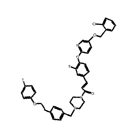 O=C(/C=C/c1ccc(Oc2ccc(OCc3ccccc3Cl)cn2)c(F)c1)N1CCN(Cc2ccc(CCOc3ccc(F)cc3)cc2)CC1